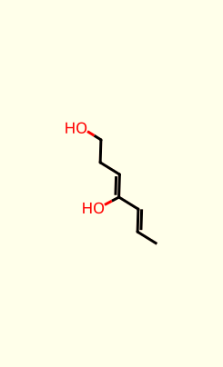 CC=CC(O)=CCCO